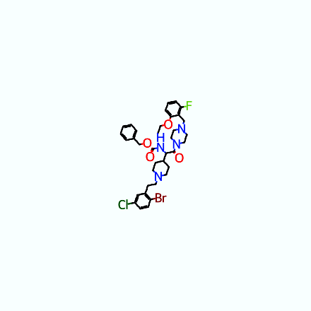 CCOc1cccc(F)c1CN1CCN(C(=O)[C@H](NC(=O)OCc2ccccc2)C2CCN(CCc3cc(Cl)ccc3Br)CC2)CC1